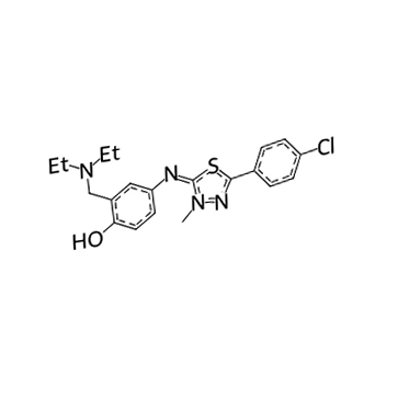 CCN(CC)Cc1cc(/N=c2/sc(-c3ccc(Cl)cc3)nn2C)ccc1O